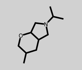 CC1COC2CN(C(C)C)CC2C1